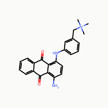 C[N+](C)(C)Cc1cccc(Nc2ccc(N)c3c2C(=O)c2ccccc2C3=O)c1